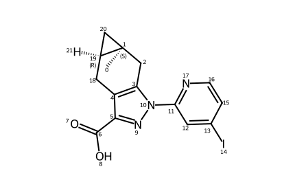 C[C@]12Cc3c(c(C(=O)O)nn3-c3cc(I)ccn3)C[C@H]1C2